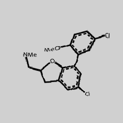 CNCC1Cc2cc(Cl)cc(-c3cc(Cl)ccc3OC)c2O1